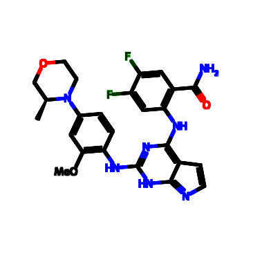 COc1cc(N2CCOC[C@@H]2C)ccc1Nc1nc(Nc2cc(F)c(F)cc2C(N)=O)c2ccnc-2[nH]1